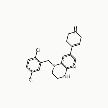 Clc1ccc(Cl)c(CN2CCNc3ncc(C4=CCNCC4)cc32)c1